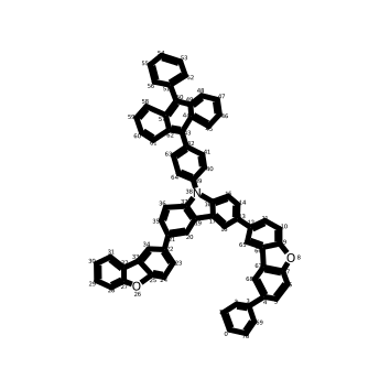 c1ccc(-c2ccc3oc4ccc(-c5ccc6c(c5)c5cc(-c7ccc8oc9ccccc9c8c7)ccc5n6-c5ccc(-c6c7ccccc7c(-c7ccccc7)c7ccccc67)cc5)cc4c3c2)cc1